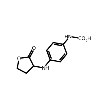 O=C(O)Nc1ccc(NC2CCOC2=O)cc1